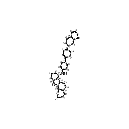 c1ccc2cc(-c3ccc(-c4ccc(Nc5cccc6oc7c8ccccc8ccc7c56)cc4)cc3)ccc2c1